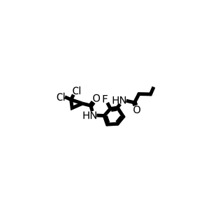 CCCC(=O)Nc1cccc(NC(=O)C2CC2(Cl)Cl)c1F